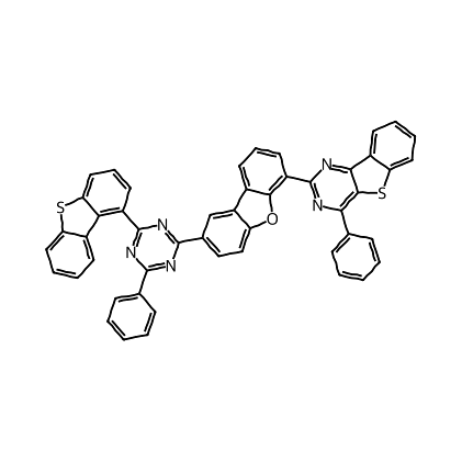 c1ccc(-c2nc(-c3ccc4oc5c(-c6nc(-c7ccccc7)c7sc8ccccc8c7n6)cccc5c4c3)nc(-c3cccc4sc5ccccc5c34)n2)cc1